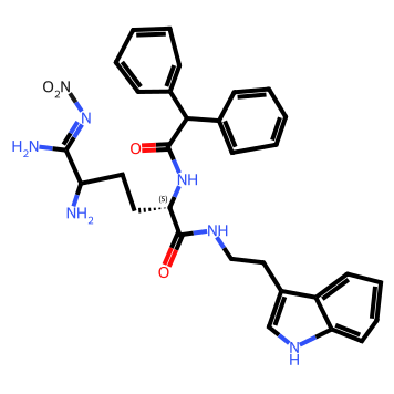 NC(=N[N+](=O)[O-])C(N)CC[C@H](NC(=O)C(c1ccccc1)c1ccccc1)C(=O)NCCc1c[nH]c2ccccc12